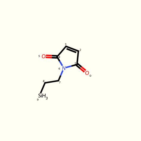 O=C1C=CC(=O)N1CC[SiH3]